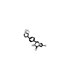 CN1CCC(c2ccc(-c3cn4cc(F)cc4c(=O)[nH]3)cc2)C1